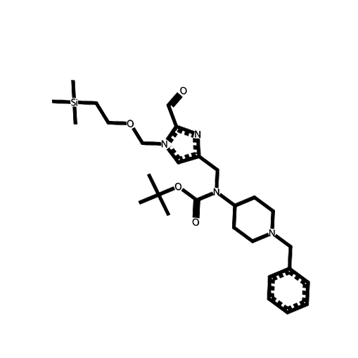 CC(C)(C)OC(=O)N(Cc1cn(COCC[Si](C)(C)C)c(C=O)n1)C1CCN(Cc2ccccc2)CC1